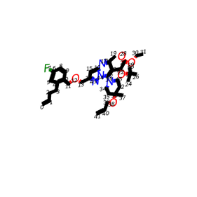 C=CCCc1cc(F)ccc1COCc1cc2nc(C)c([C@H](OC(C)(C)C)C(=O)OCC)c(N3CCC(C)(OCC=C)CC3)n2n1